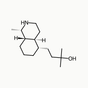 C[C@@H]1NCC[C@H]2[C@H](CCC(C)(C)O)CCC[C@@H]21